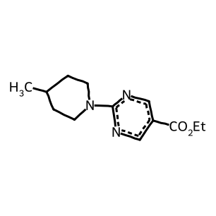 CCOC(=O)c1cnc(N2CCC(C)CC2)nc1